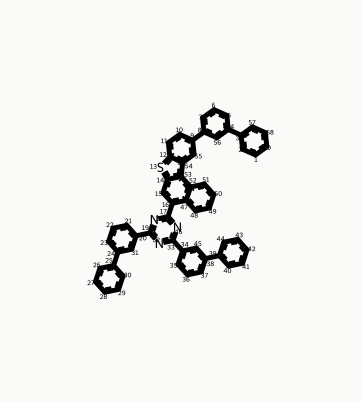 c1ccc(-c2cccc(-c3ccc4sc5cc(-c6nc(-c7cccc(-c8ccccc8)c7)nc(-c7cccc(-c8ccccc8)c7)n6)c6ccccc6c5c4c3)c2)cc1